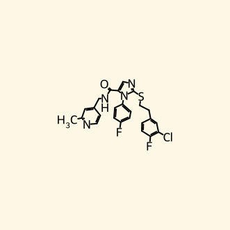 Cc1cc(CNC(=O)c2cnc(SCCc3ccc(F)c(Cl)c3)n2-c2ccc(F)cc2)ccn1